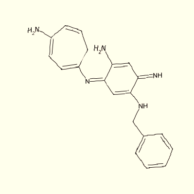 N=C1C=C(N)/C(=N\C2=CC=C(N)C=CC2)C=C1NCc1ccccc1